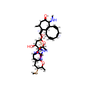 CNC1C(=O)CC(C)/C(=C/CSSC2(C)Nc3ncccc32)C2=C1C#C/C=C\C#C[C@@H]2OC1CC(O)[C@H](NOC2CC[C@H](SC)C(C)O2)C(C)O1